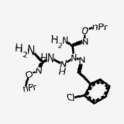 CCCON=C(N)NNN(N=Cc1ccccc1Cl)C(N)=NOCCC